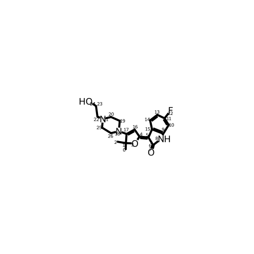 CC1(C)OC(=C2C(=O)Nc3cc(F)ccc32)C=C1N1CCN(CCO)CC1